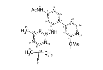 COc1cc(-c2cnc(NC(C)=O)cc2Nc2cc(C)nc(C(C)(C)F)n2)ncn1